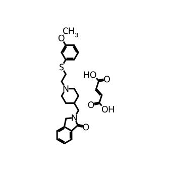 COc1cccc(SCCN2CCC(CN3Cc4ccccc4C3=O)CC2)c1.O=C(O)C=CC(=O)O